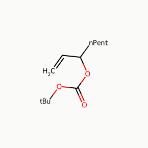 C=CC(CCCCC)OC(=O)OC(C)(C)C